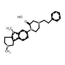 CN1CCc2c(c3ccc(N4CCN(CCc5ccccc5)CC4=O)cc3n2C)C1.Cl